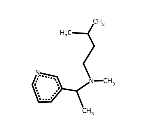 CC(C)CCN(C)C(C)c1cccnc1